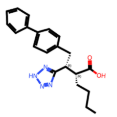 CCCC[C@@H](C(=O)O)[C@@H](Cc1ccc(-c2ccccc2)cc1)c1nn[nH]n1